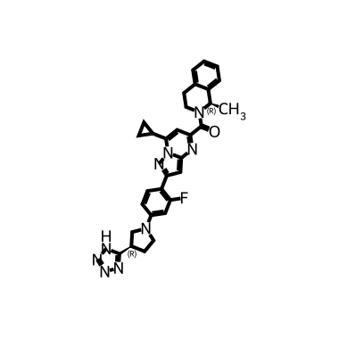 C[C@@H]1c2ccccc2CCN1C(=O)c1cc(C2CC2)n2nc(-c3ccc(N4CC[C@@H](c5nnn[nH]5)C4)cc3F)cc2n1